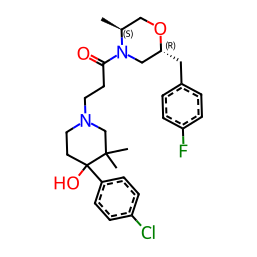 C[C@H]1CO[C@H](Cc2ccc(F)cc2)CN1C(=O)CCN1CCC(O)(c2ccc(Cl)cc2)C(C)(C)C1